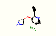 C#Cc1ncccc1OC1CNC1.Cl